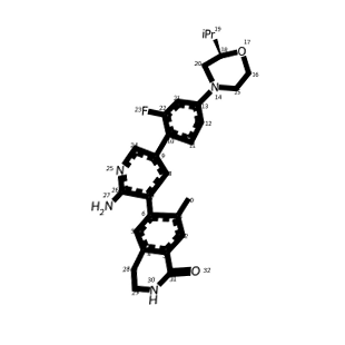 Cc1cc2c(cc1-c1cc(-c3ccc(N4CCO[C@H](C(C)C)C4)cc3F)cnc1N)CCNC2=O